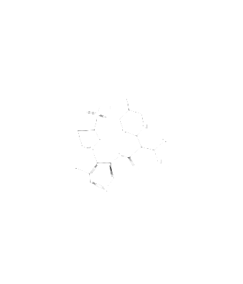 CS(=O)(=O)C1CCN(c2c(Cl)cncc2NC(=O)C(C(N)N=O)C2NCC(F)CN2)C1